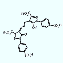 CCOC(=O)C1=NN(c2ccc(S(=O)(=O)O)cc2)C(=O)/C1=C\C=Cc1c(C(=O)OCC)nn(-c2ccc(S(=O)(=O)O)cc2)c1O